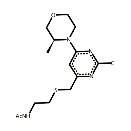 CC(=O)NCCSCc1cc(N2CCOC[C@@H]2C)nc(Cl)n1